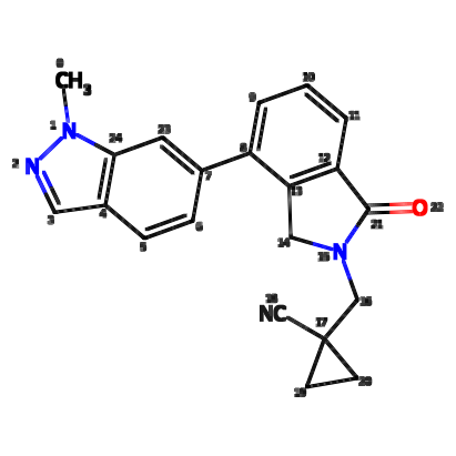 Cn1ncc2ccc(-c3cccc4c3CN(CC3(C#N)CC3)C4=O)cc21